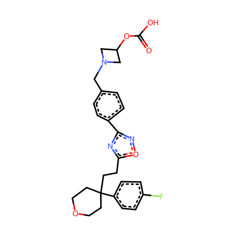 O=C(O)OC1CN(Cc2ccc(-c3noc(CCC4(c5ccc(F)cc5)CCOCC4)n3)cc2)C1